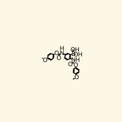 COc1ccc(OC(=O)Nc2ccc(NC(=O)Oc3ccc(OC)cc3)c(B(O)O)c2)cc1